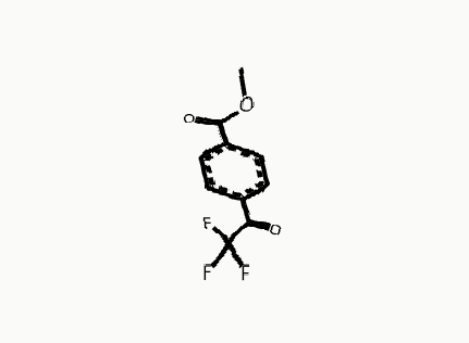 COC(=O)c1ccc(C(=O)C(F)(F)F)cc1